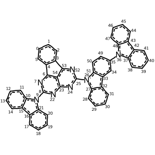 c1ccc2c(c1)-c1nc(-n3c4ccccc4c4ccccc43)nc3nc(-n4c5ccccc5c5cc(-n6c7ccccc7c7ccccc76)ccc54)nc-2c13